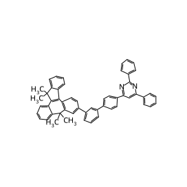 CC1(C)C2=C(c3ccccc31)c1ccc(-c3cccc(-c4ccc(-c5cc(-c6ccccc6)nc(-c6ccccc6)n5)cc4)c3)cc1C(C)(C)c1ccccc12